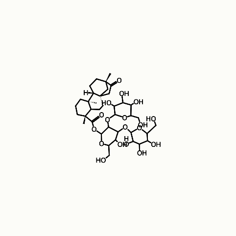 C[C@@]12CC[C@@H]3[C@](CCC4[C@](C)(C(=O)OC5OC(CO)C(O)C(OC6OC(CO)C(O)C(O)C6O)C5OC5OC(CO)C(O)C(O)C5O)CCC[C@]43C)(CC1=O)C2